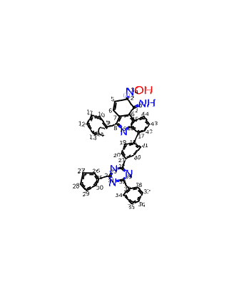 N=C1/C(=N\O)C=Cc2c(-c3ccccc3)nc3c(-c4ccc(-c5nc(-c6ccccc6)nc(-c6ccccc6)n5)cc4)cccc3c21